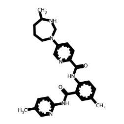 Cc1ccc(NC(=O)c2cc(C)ccc2NC(=O)c2ccc(N3CCCC(C)NC3)cn2)nc1